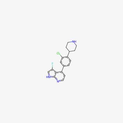 Fc1c[nH]c2nccc(-c3ccc(C4CCNCC4)c(Cl)c3)c12